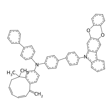 C=C1/C=C\C=C/CC(C)(C)c2cc(N(c3ccc(-c4ccccc4)cc3)c3ccc(-c4ccc(-n5c6ccccc6c6cc7c(cc65)Oc5ccccc5O7)cc4)cc3)ccc21